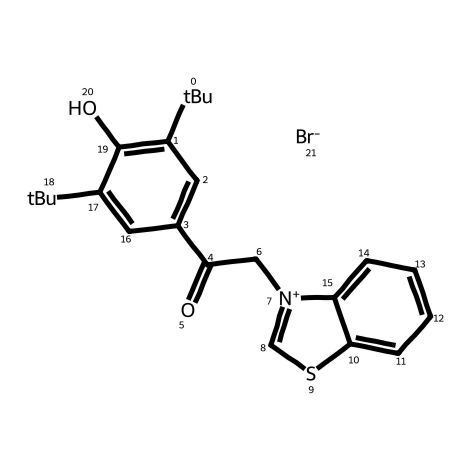 CC(C)(C)c1cc(C(=O)C[n+]2csc3ccccc32)cc(C(C)(C)C)c1O.[Br-]